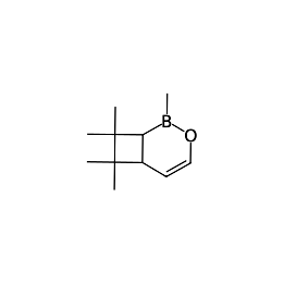 CB1OC=CC2C1C(C)(C)C2(C)C